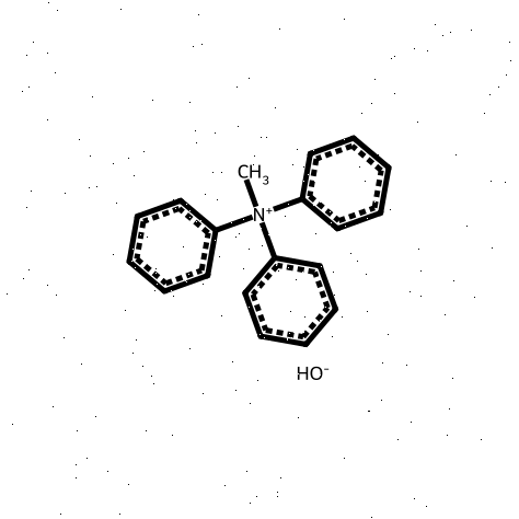 C[N+](c1ccccc1)(c1ccccc1)c1ccccc1.[OH-]